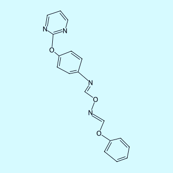 C(=N\O/C=N/c1ccc(Oc2ncccn2)cc1)/Oc1ccccc1